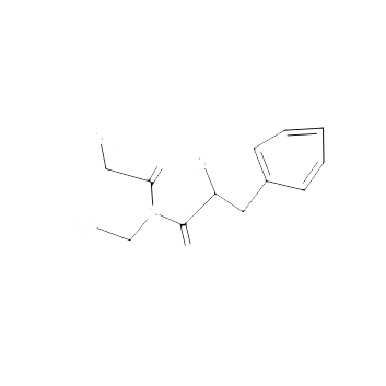 NCC(=O)N(CC(=O)O)C(=O)C(N)Cc1ccccc1